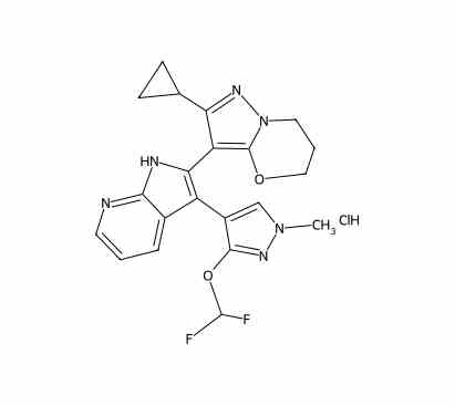 Cl.Cn1cc(-c2c(-c3c(C4CC4)nn4c3OCCC4)[nH]c3ncccc23)c(OC(F)F)n1